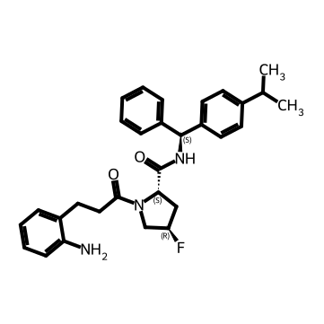 CC(C)c1ccc([C@@H](NC(=O)[C@@H]2C[C@@H](F)CN2C(=O)CCc2ccccc2N)c2ccccc2)cc1